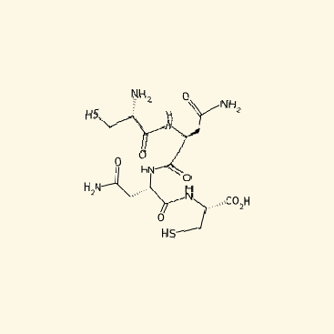 NC(=O)C[C@H](NC(=O)[C@H](CC(N)=O)NC(=O)[C@@H](N)CS)C(=O)N[C@@H](CS)C(=O)O